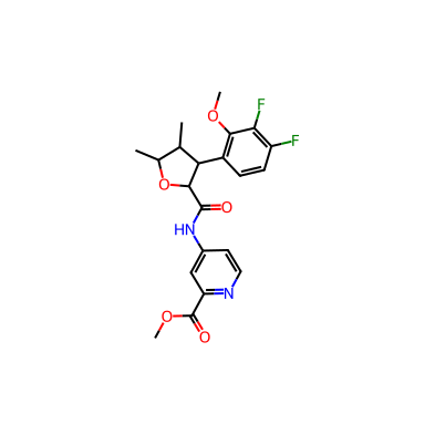 COC(=O)c1cc(NC(=O)C2OC(C)C(C)C2c2ccc(F)c(F)c2OC)ccn1